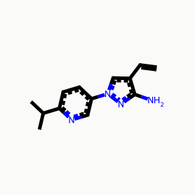 C=Cc1cn(-c2ccc(C(C)C)nc2)nc1N